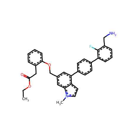 CCOC(=O)Cc1ccccc1OCc1cc(-c2ccc(-c3cccc(CN)c3F)cc2)c2ccn(C)c2c1